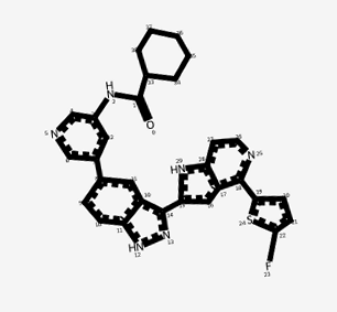 O=C(Nc1cncc(-c2ccc3[nH]nc(-c4cc5c(-c6ccc(F)s6)nccc5[nH]4)c3c2)c1)C1CCCCC1